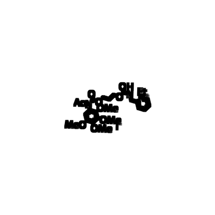 CC[n+]1ccccc1CNC(=O)OCCCOC(=O)N(C(C)=O)c1cc(OC)c(OC)c(OC)c1OC.[I-]